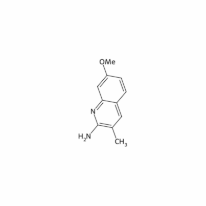 COc1ccc2cc(C)c(N)nc2c1